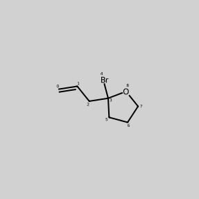 C=CCC1(Br)CCCO1